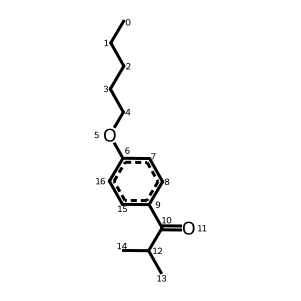 CCCCCOc1ccc(C(=O)C(C)C)cc1